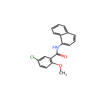 COc1ccc(Cl)cc1C(=O)Nc1cccc2ccccc12